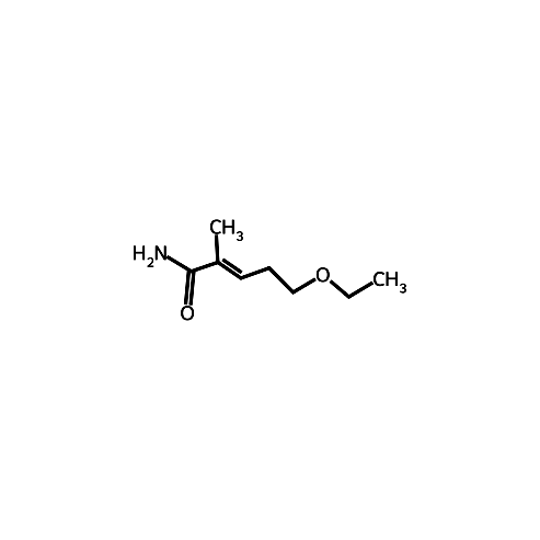 CCOCC/C=C(\C)C(N)=O